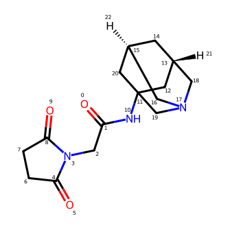 O=C(CN1C(=O)CCC1=O)NC12C[C@@H]3C[C@@H](CN(C3)C1)C2